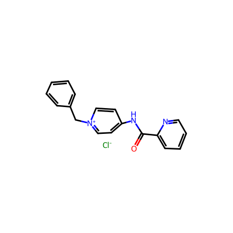 O=C(Nc1cc[n+](Cc2ccccc2)cc1)c1ccccn1.[Cl-]